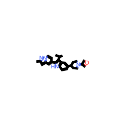 Cc1cc2cc(-c3[nH]c4ccc(C5CCN(C6COC6)CC5)cc4c3C(C)C)ccn2n1